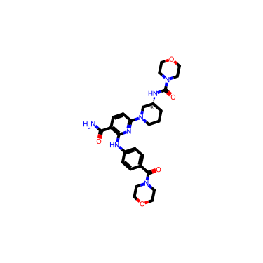 NC(=O)c1ccc(N2CCC[C@@H](NC(=O)N3CCOCC3)C2)nc1Nc1ccc(C(=O)N2CCOCC2)cc1